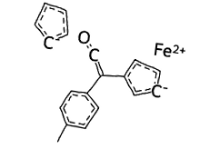 Cc1ccc(C(=C=O)c2cc[cH-]c2)cc1.[Fe+2].c1cc[cH-]c1